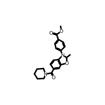 COC(=O)c1ccc(N2c3ccc(C(=O)N4CCCCC4)cc3OC2C)cc1